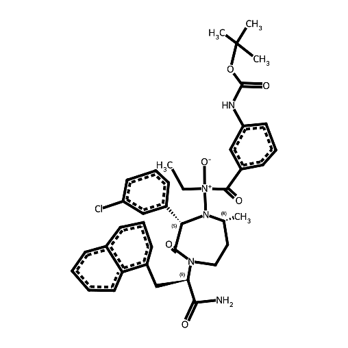 CC[N+]([O-])(C(=O)c1cccc(NC(=O)OC(C)(C)C)c1)N1[C@H](C)CCN([C@H](Cc2cccc3ccccc23)C(N)=O)C(=O)[C@@H]1c1cccc(Cl)c1